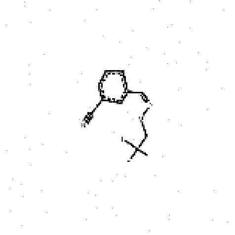 N#Cc1cccc(/[C]=N\OCC(F)(F)F)c1